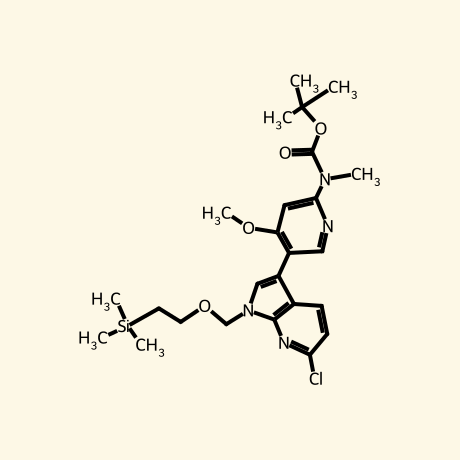 COc1cc(N(C)C(=O)OC(C)(C)C)ncc1-c1cn(COCC[Si](C)(C)C)c2nc(Cl)ccc12